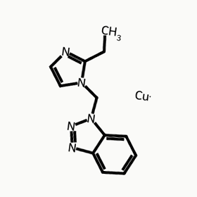 CCc1nccn1Cn1nnc2ccccc21.[Cu]